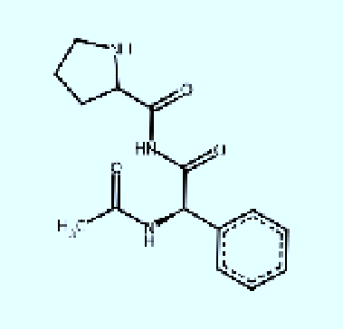 CC(=O)N[C@@H](C(=O)NC(=O)C1CCCN1)c1ccccc1